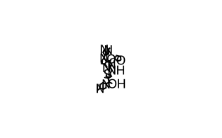 CN1CCN(C(O)c2csc(Nc3nc(O[C@H]4CCOC4)c4c(ccn4-c4cnn(C)c4)n3)c2)CC1